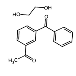 CC(=O)c1cccc(C(=O)c2ccccc2)c1.OCCO